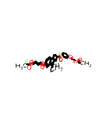 C=CC(=O)OCCOc1ccc(SC(=O)c2ccc3c(c2)C(C)c2cc(OCCCCOC(=O)C(=C)F)ccc2-3)cc1